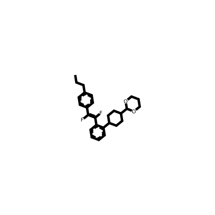 CCCc1ccc(C(F)=C(F)c2ccccc2C2CCC(C3OCCCO3)CC2)cc1